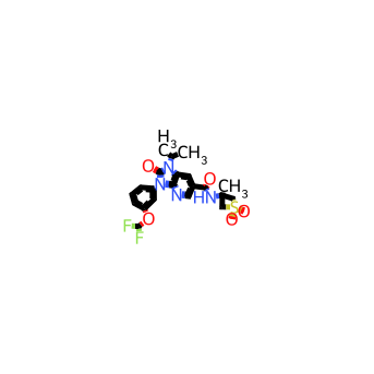 CC(C)n1c(=O)n(-c2cccc(OC(F)F)c2)c2ncc(C(=O)NC3(C)CS(=O)(=O)C3)cc21